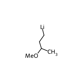 [Li][CH2]CC(C)OC